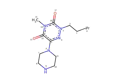 CC(C)CCn1nc(N2CCNCC2)c(=O)n(C)c1=O